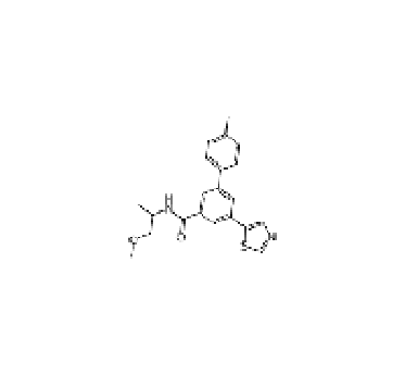 COCC(C)NC(=O)c1cc(-c2ccc(C)cc2)cc(-c2cncs2)c1